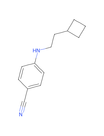 N#Cc1ccc(NCCC2CCC2)cc1